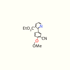 CCOC(=O)c1cccnc1-c1ccc(OCOC)c(C#N)c1